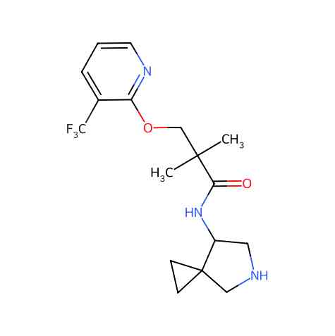 CC(C)(COc1ncccc1C(F)(F)F)C(=O)NC1CNCC12CC2